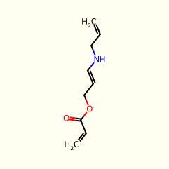 C=CCNC=CCOC(=O)C=C